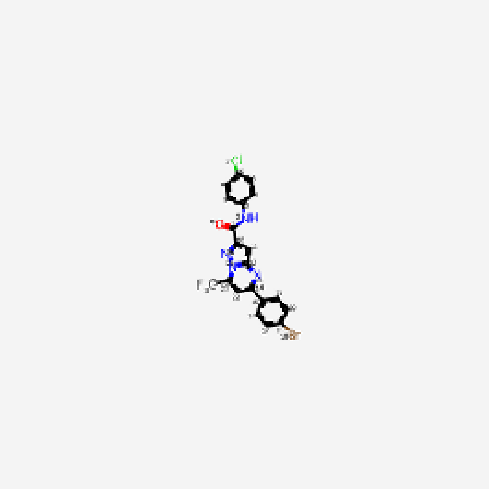 O=C(Nc1ccc(Cl)cc1)c1cc2nc(-c3ccc(Br)cc3)cc(C(F)(F)F)n2n1